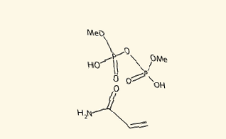 C=CC(N)=O.COP(=O)(O)OP(=O)(O)OC